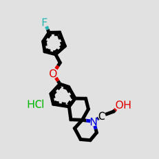 Cl.OCCN1CCCCC12CCc1cc(OCc3ccc(F)cc3)ccc1C2